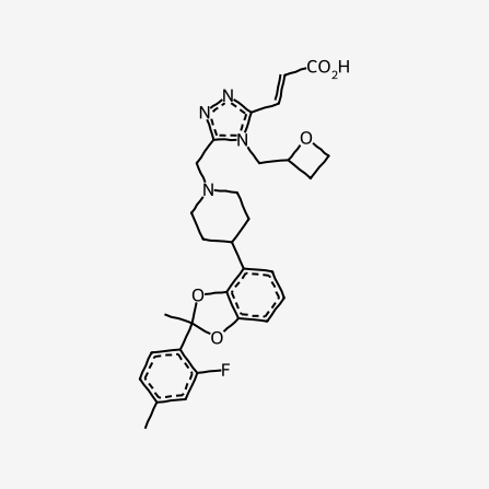 Cc1ccc(C2(C)Oc3cccc(C4CCN(Cc5nnc(/C=C/C(=O)O)n5CC5CCO5)CC4)c3O2)c(F)c1